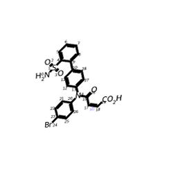 NS(=O)(=O)c1ccccc1-c1ccc(N(C(=O)/C=C\C(=O)O)c2ccc(Br)cc2)cc1